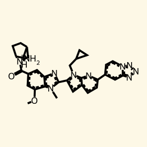 COc1cc(C(=O)N2CC3CCC2[C@@H]3N)cc2nc(-c3cc4ccc(-c5ccn6nnnc6c5)nc4n3CC3CC3)n(C)c12